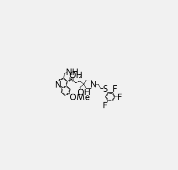 COc1ccc2ncc(CN)c([C@H](O)CCC3(CO)CCN(CCSc4cc(F)cc(F)c4F)CC3)c2c1